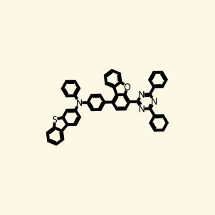 C1=CC(c2nc(-c3ccccc3)nc(-c3ccc(-c4ccc(N(C5=CC6Sc7ccccc7C6C=C5)c5ccccc5)cc4)c4c3oc3ccccc34)n2)=CCC1